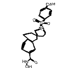 COc1ccc(S(=O)(=O)N2CCC3(CCc4ccc(C(=O)NO)cc4C3)C2)cc1